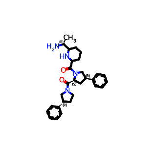 C[C@@H](N)C1CCCC(C(=O)N2C[C@@H](c3ccccc3)C[C@H]2C(=O)N2CC[C@H](c3ccccc3)C2)N1